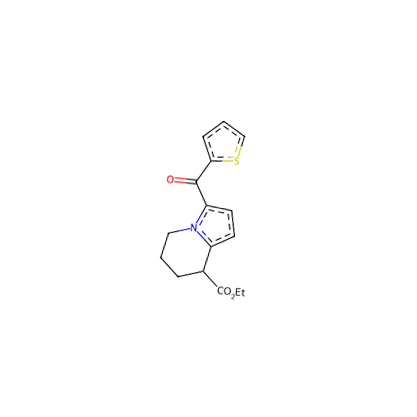 CCOC(=O)C1CCCn2c(C(=O)c3cccs3)ccc21